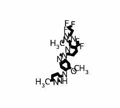 COc1cc2c(cc1Nc1ccc(C)nn1)ncn2-c1ccc(C(F)F)c(-c2nc(CC(F)(F)F)nn2C)n1